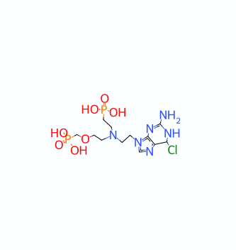 NC1=Nc2c(ncn2CCN(CCOCP(=O)(O)O)CCP(=O)(O)O)C(Cl)N1